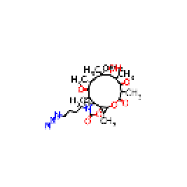 CO[C@@]1(C)C[C@@H](C)C(=O)C(C)[C@H]2N(CCCCN=[N+]=[N-])C(=O)OC23C(OC(=O)C(C)C(=O)C(C)[C@H]1O)[C@@H]3C